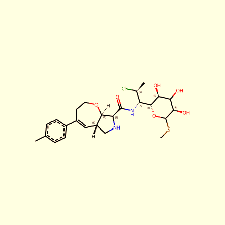 CSC1O[C@H]([C@H](NC(=O)[C@H]2NC[C@@H]3C=C(c4ccc(C)cc4)CCO[C@@H]23)[C@H](C)Cl)[C@@H](O)C(O)[C@H]1O